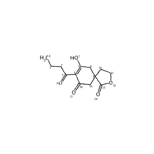 CCCC(=O)C1=C(O)CC2(CCOC2=O)CC1=O